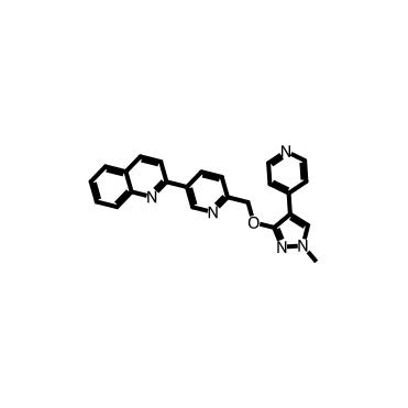 Cn1cc(-c2ccncc2)c(OCc2ccc(-c3ccc4ccccc4n3)cn2)n1